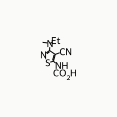 CCN(C)c1nsc(NC(=O)O)c1C#N